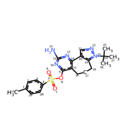 Cc1ccc(S(=O)(=O)Oc2nc(N)nc3c2CCCc2c-3cnn2C(C)(C)C)cc1